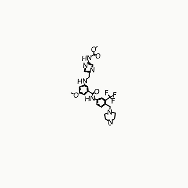 COC(=O)Nc1cnc(CNc2cc(OC)cc(C(=O)Nc3ccc(CN4CCN(C)CC4)c(C(F)(F)F)c3)c2)cn1